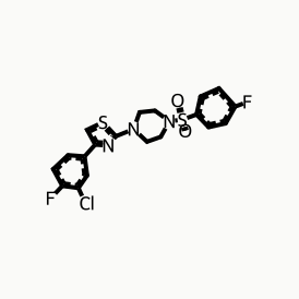 O=S(=O)(c1ccc(F)cc1)N1CCN(c2nc(-c3ccc(F)c(Cl)c3)cs2)CC1